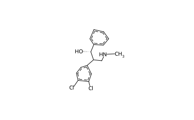 CNCC(c1ccc(Cl)c(Cl)c1)[C@H](O)c1ccccc1